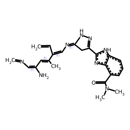 C=CC(=C\N=C1/CC(c2nc3c(C(=O)N(C)C)cccc3[nH]2)=NN1)/C(C)=C/C(N)=C\N=C